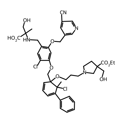 CCOC(=O)C1(CO)CCN(CCCOC2(COc3cc(OCc4cncc(C#N)c4)c(CNC(C)(CO)C(=O)O)cc3Cl)C=CC=C(c3ccccc3)C2(C)Cl)C1